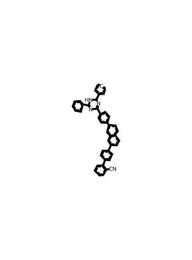 N#Cc1ccccc1-c1ccc(-c2ccc3ccc(-c4ccc(C5=NC(c6ccccc6)NC(c6ccccc6)=N5)cc4)cc3c2)cc1